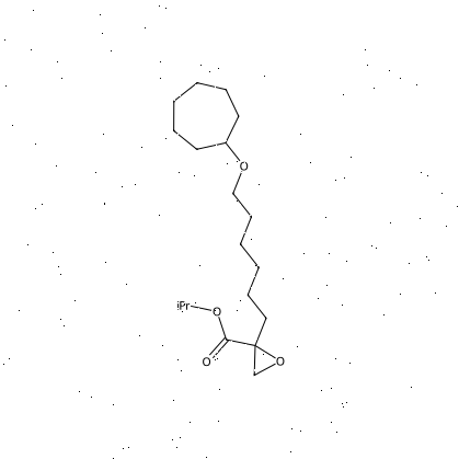 CC(C)OC(=O)C1(CCCCCCOC2CCCCCC2)CO1